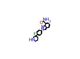 NC(=O)c1cccc2cn(-c3ccc([C@]4(F)CCCNC4)cc3)nc12